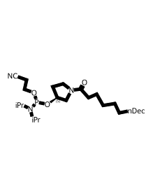 CCCCCCCCCCCCCCCC(=O)N1CC[C@H](OP(OCCC#N)N(C(C)C)C(C)C)C1